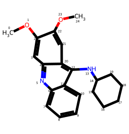 COc1cc2nc3ccccc3c(NC3CCCCC3)c2cc1OC